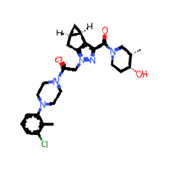 Cc1c(Cl)cccc1N1CCN(C(=O)Cn2nc(C(=O)N3CC[C@@H](O)[C@@H](C)C3)c3c2C[C@H]2C[C@@H]32)CC1